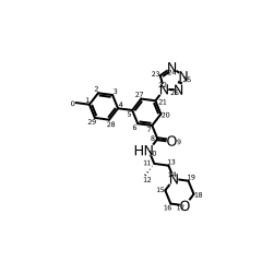 Cc1ccc(-c2cc(C(=O)N[C@@H](C)CN3CCOCC3)cc(-n3cnnn3)c2)cc1